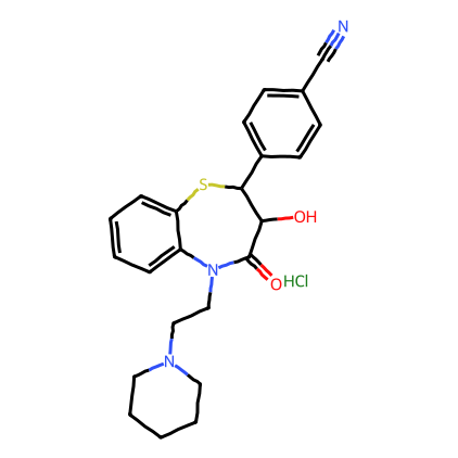 Cl.N#Cc1ccc(C2Sc3ccccc3N(CCN3CCCCC3)C(=O)C2O)cc1